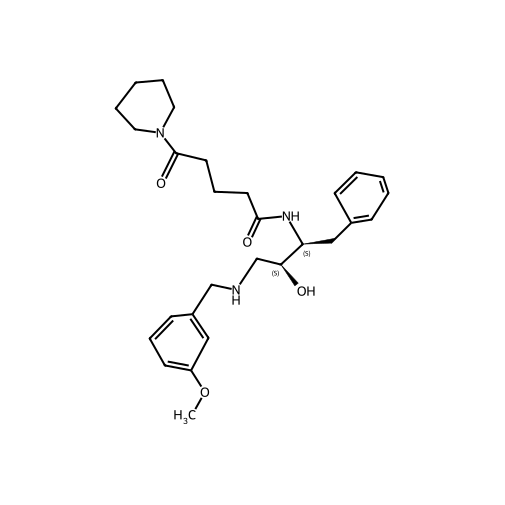 COc1cccc(CNC[C@H](O)[C@H](Cc2ccccc2)NC(=O)CCCC(=O)N2CCCCC2)c1